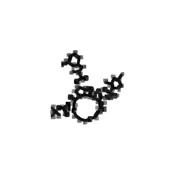 Cc1ccc(S(=O)(=O)NC(=O)[C@@]23C[C@H]2/C=C\CCCCC[C@H](NC(=O)OC(C)(C)C)C(=O)N2C[C@H](OC(=O)N4CC5C=CC=C(F)C5C4)C[C@H]2C(=O)N3)c(C)c1